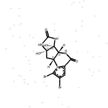 O=C1N[C@]2(O)C[C@@H]3[C@@H](NC(=O)c4cc(Br)c(Br)n43)[C@]2(O)N1